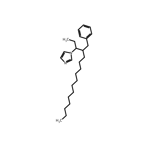 CCCCCCCCCCCCC(Cc1ccccc1)C(CC)n1ccnc1